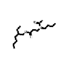 CCCCC(CC)COC(=O)CCN(CCCC)C(C)=O